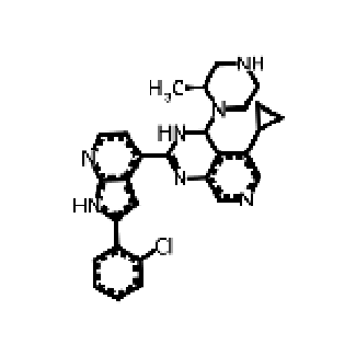 C[C@H]1CNCCN1C1NC(c2ccnc3[nH]c(-c4ccccc4Cl)cc23)=Nc2cncc(C3CC3)c21